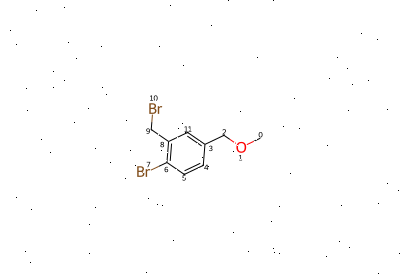 COCc1ccc(Br)c(CBr)c1